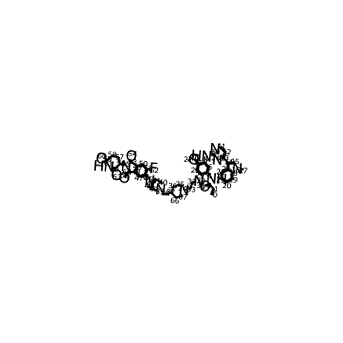 C=CC(=O)Nc1cc(Nc2nccc(-c3cn(C)c4ccccc34)n2)c(OC)cc1N(C)CCN1CCC(CN2CC3CC2CN3c2cc3c(cc2F)C(=O)N(C2CCC(=O)NC2=O)C3=O)CC1